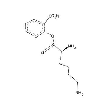 NCCCC[C@H](N)C(=O)Oc1ccccc1C(=O)O